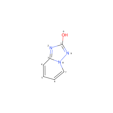 Oc1nc2ccccn2n1